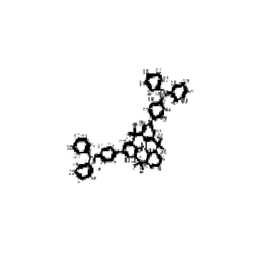 CC1(C)c2cccc3c2N2c4c1cc(-c1ccc(N(c5ccccc5)c5ccccc5)cc1)cc4C(C)(C)c1cc(-c4ccc(N(c5ccccc5)c5ccccc5)cc4)cc(c12)C3(C)C